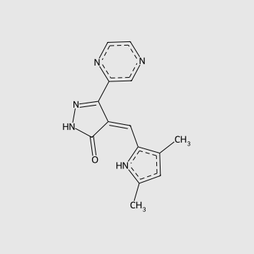 Cc1cc(C)c(C=C2C(=O)NN=C2c2cnccn2)[nH]1